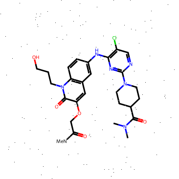 CNC(=O)COc1cc2cc(Nc3nc(N4CCC(C(=O)N(C)C)CC4)ncc3Cl)ccc2n(CCCO)c1=O